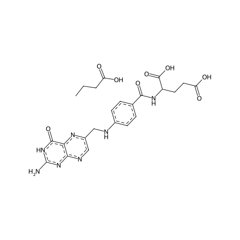 CCCC(=O)O.Nc1nc2ncc(CNc3ccc(C(=O)NC(CCC(=O)O)C(=O)O)cc3)nc2c(=O)[nH]1